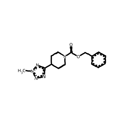 Cn1nnc(C2CCN(C(=O)OCc3ccccc3)CC2)n1